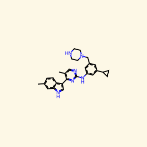 Cc1ccc2c(-c3nc(Nc4cc(CN5CCNCC5)cc(C5CC5)c4)ncc3C)c[nH]c2c1